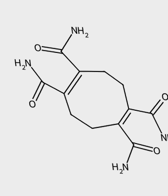 NC(=O)C1=C(C(N)=O)CCC(C(N)=O)=C(C(N)=O)CC1